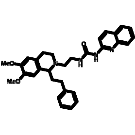 COc1cc2c(cc1OC)C(CCc1ccccc1)N(CCNC(=O)Nc1ccc3ccccc3n1)CC2